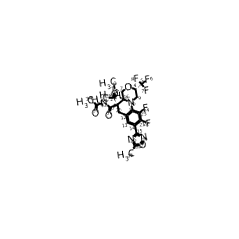 CC[C@@H]1O[C@H](C(F)(F)F)CN2c3c(cc(-c4noc(C)n4)c(F)c3F)C[C@@](C(C)=O)(C(=O)NC(C)=O)[C@@H]12